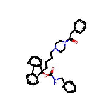 O=C(NCc1ccccc1)OC1(CCCCN2CCN(C(=O)Cc3ccccc3)CC2)c2ccccc2-c2ccccc21